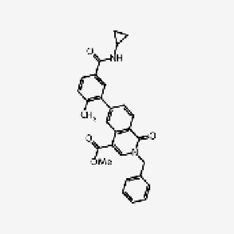 COC(=O)c1cn(Cc2ccccc2)c(=O)c2ccc(-c3cc(C(=O)NC4CC4)ccc3C)cc12